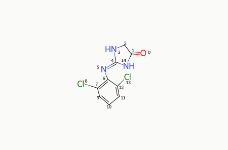 O=C1CNC(=Nc2c(Cl)cccc2Cl)N1